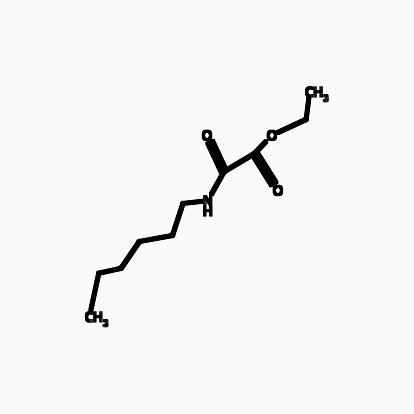 CCCCCCNC(=O)C(=O)OCC